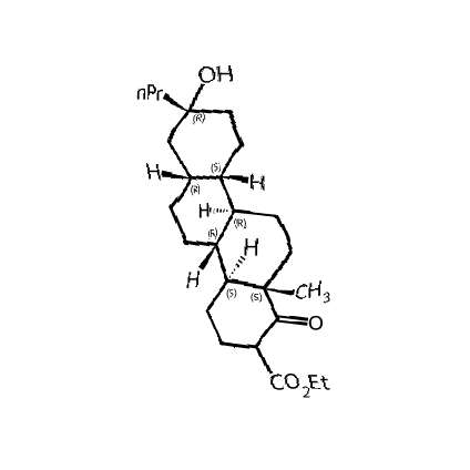 CCC[C@@]1(O)CC[C@H]2[C@H](CC[C@@H]3[C@@H]2CC[C@]2(C)C(=O)C(C(=O)OCC)CC[C@@H]32)C1